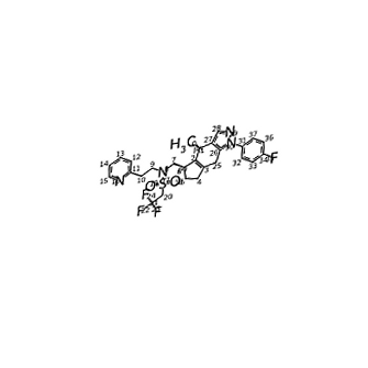 C[C@@H]1C2=C(CC[C@H]2CN(CCc2ccccn2)S(=O)(=O)CC(F)(F)F)Cc2c1cnn2-c1ccc(F)cc1